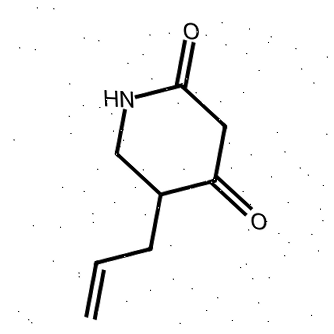 C=CCC1CNC(=O)CC1=O